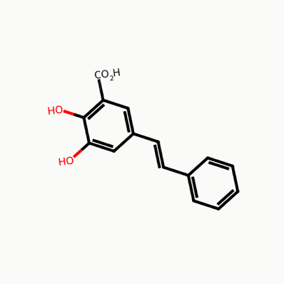 O=C(O)c1cc(C=Cc2ccccc2)cc(O)c1O